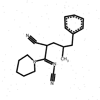 CC(Cc1ccccc1)CC(C#N)C(=NC#N)N1CCCCC1